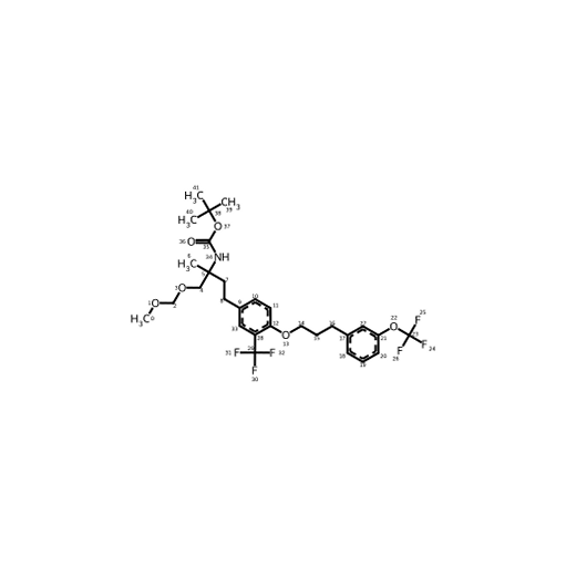 COCOCC(C)(CCc1ccc(OCCCc2cccc(OC(F)(F)F)c2)c(C(F)(F)F)c1)NC(=O)OC(C)(C)C